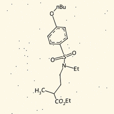 CCCCOc1ccc(S(=O)(=O)N(CC)CCC(C)C(=O)OCC)cc1